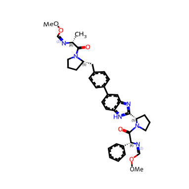 COO/C=N\[C@H](C)C(=O)N1CCC[C@H]1Cc1ccc(-c2ccc3[nH]c([C@@H]4CCCN4C(=O)[C@H](/N=C\OOC)c4ccccc4)nc3c2)cc1